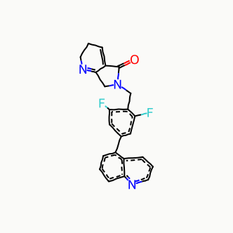 O=C1C2=CCCN=C2CN1Cc1c(F)cc(-c2cccc3ncccc23)cc1F